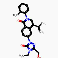 C=C(C)c1cn(-c2ccccc2C)c(=O)c2ccc(-n3nc(CO)n(CC)c3=O)cc12